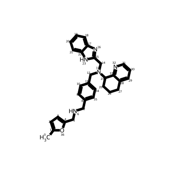 Cc1ccc(CNCc2ccc(CN(Cc3nc4ccccc4[nH]3)C3CCCc4cccnc43)cc2)o1